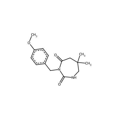 COc1ccc(CN2C(=O)CC(C)(C)CNC2=O)cc1